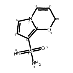 N=S(N)(=O)c1ccn2c1OCC=C2